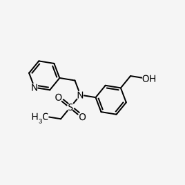 CCS(=O)(=O)N(Cc1cccnc1)c1cccc(CO)c1